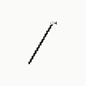 C=CCCCCCCCCCCCCCCCCCCCCCCCCCCCO